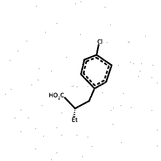 CC[C@@H](Cc1ccc(Cl)cc1)C(=O)O